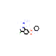 N=C(N)Nc1ncc(Cl)c2ccc(S(=O)(=O)N[C@@H]3CCCC[C@H]3C(=O)O)cc12